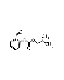 CC(C)COC(=O)Oc1ccccc1C=O